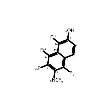 Oc1ccc2c(F)c(NC(F)(F)F)c(F)c(F)c2c1F